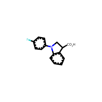 O=C(O)C1CN(c2ccc(F)cc2)c2ccccc21